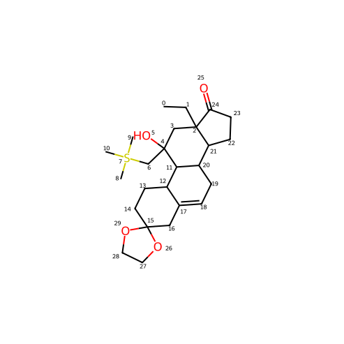 CCC12CC(O)(CS(C)(C)C)C3C4CCC5(CC4=CCC3C1CCC2=O)OCCO5